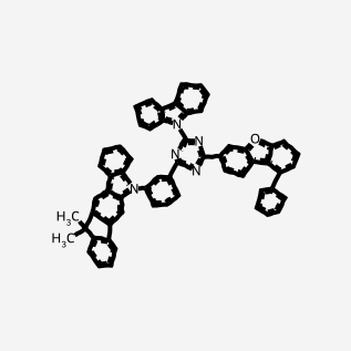 CC1(C)c2ccccc2-c2cc3c(cc21)c1ccccc1n3-c1cccc(-c2nc(-c3ccc4c(c3)oc3cccc(-c5ccccc5)c34)nc(-n3c4ccccc4c4ccccc43)n2)c1